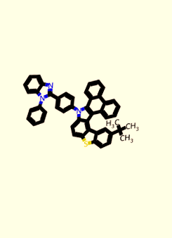 CC(C)(C)c1ccc2sc3ccc4c(c3c2c1)c1c2ccccc2c2ccccc2c1n4-c1ccc(-c2nc3ccccc3n2-c2ccccc2)cc1